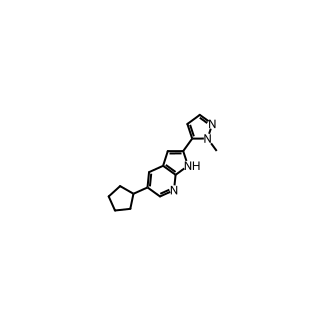 Cn1nccc1-c1cc2cc(C3CCCC3)cnc2[nH]1